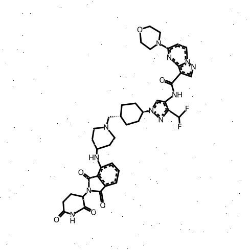 O=C1CCC(N2C(=O)c3cccc(NC4CCN(C[C@H]5CC[C@H](n6cc(NC(=O)c7cnn8ccc(N9CCOCC9)nc78)c(C(F)F)n6)CC5)CC4)c3C2=O)C(=O)N1